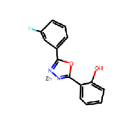 Oc1ccccc1-c1nnc(-c2cccc(F)c2)o1.[Zn]